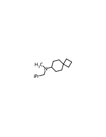 CC(C)CN(C)C1CCC2(CCC2)CC1